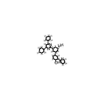 Oc1ccc(-c2cccc(-c3nc(-c4ccccc4)cc(-c4ccccc4)n3)c2)cc1-c1ccccn1.[LiH]